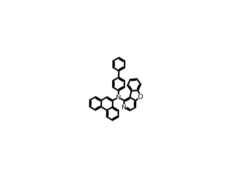 c1ccc(-c2ccc(N(c3cc4ccccc4c4ccccc34)c3nccc4oc5ccccc5c34)cc2)cc1